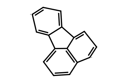 [c]1ccc2c(c1)-c1cccc3[c]ccc-2c13